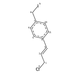 ClC/C=C/c1ccc(CI)cc1